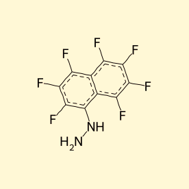 NNc1c(F)c(F)c(F)c2c(F)c(F)c(F)c(F)c12